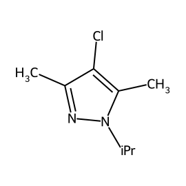 Cc1nn(C(C)C)c(C)c1Cl